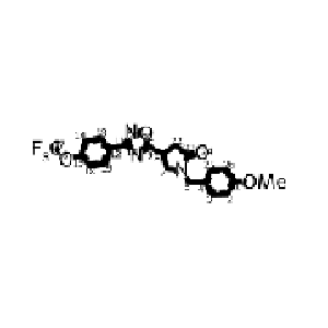 COc1ccc(CN2CC(c3nc(-c4ccc(OC(F)(F)F)cc4)no3)CC2=O)cc1